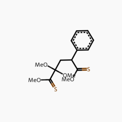 COC(=S)C(CC(OC)(OC)C(=S)OC)c1ccccc1